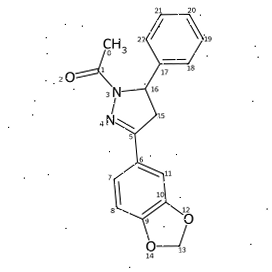 CC(=O)N1N=C(c2ccc3c(c2)OCO3)CC1c1ccccc1